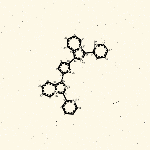 c1ccc(-c2nc(-c3ccc(-c4nc(-c5ccccn5)n5ccccc45)s3)c3ccccn23)nc1